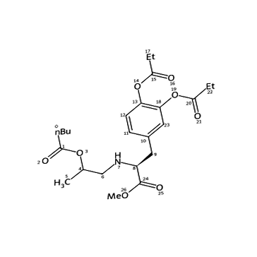 CCCCC(=O)OC(C)CN[C@@H](Cc1ccc(OC(=O)CC)c(OC(=O)CC)c1)C(=O)OC